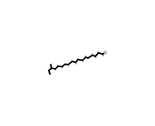 CCC(C)CCCCCCCCCCCCCCC[O]